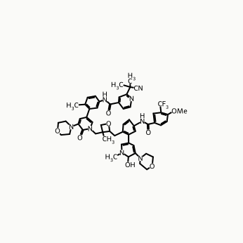 COc1ccc(C(=O)Nc2ccc(CC3OCC3(C)Cn3cc(-c4cc(NC(=O)c5ccnc(C(C)(C)C#N)c5)ccc4C)cc(N4CCOCC4)c3=O)c(C3=CN(C)C(O)C(N4CCOCC4)=C3)c2)cc1C(F)(F)F